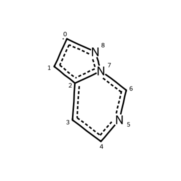 [c]1cc2ccncn2n1